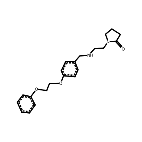 O=C1CCCN1CCNCc1ccc(OCCOc2ccccc2)cc1